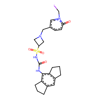 O=C(Nc1c2c(cc3c1CCC3)CCC2)NS(=O)(=O)C1CN(Cc2ccc(=O)n(CI)c2)C1